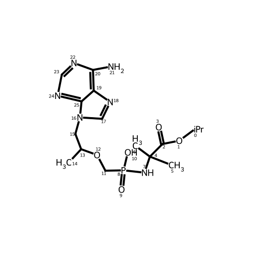 CC(C)OC(=O)C(C)(C)NP(=O)(O)COC(C)Cn1cnc2c(N)ncnc21